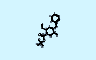 CC[C@H]1CN(Cc2ccccc2)C(C)CN1C(=O)OC(C)(C)C